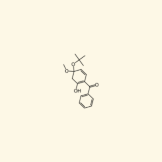 COC1(OC(C)(C)C)C=CC(C(=O)c2ccccc2)=C(O)C1